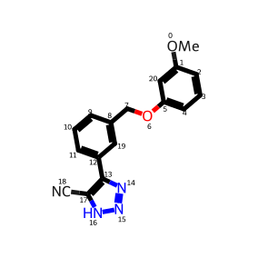 COc1cccc(OCc2cccc(-c3nn[nH]c3C#N)c2)c1